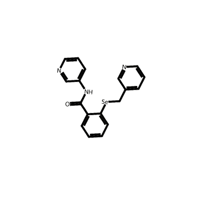 O=C(Nc1cccnc1)c1ccccc1[Se]Cc1cccnc1